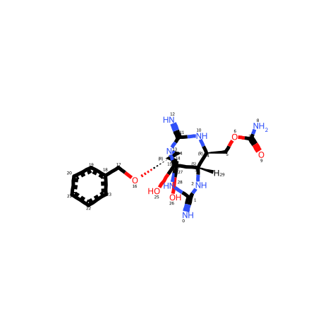 N=C1N[C@H]2[C@H](COC(N)=O)NC(=N)N3C[C@@H](OCc4ccccc4)C(O)(O)[C@]23N1